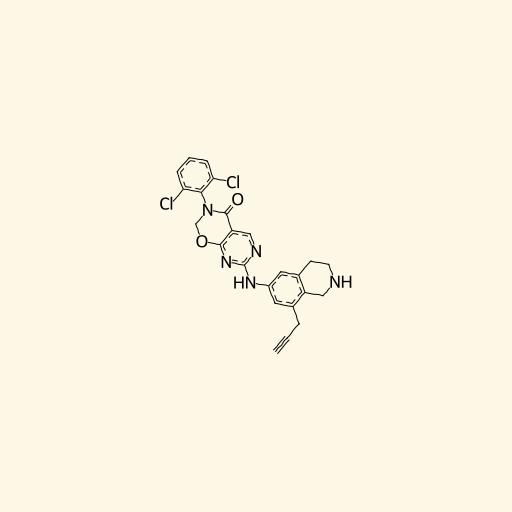 C#CCc1cc(Nc2ncc3c(n2)OCN(c2c(Cl)cccc2Cl)C3=O)cc2c1CNCC2